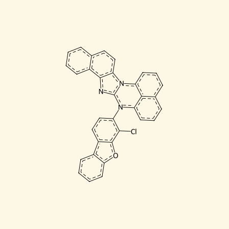 Clc1c(-n2c3cccc4cccc(c43)n3c4ccc5ccccc5c4nc23)ccc2c1oc1ccccc12